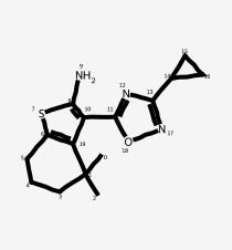 CC1(C)CCCc2sc(N)c(-c3nc(C4CC4)no3)c21